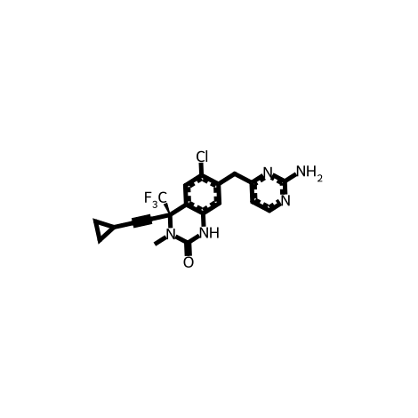 CN1C(=O)Nc2cc(Cc3ccnc(N)n3)c(Cl)cc2[C@]1(C#CC1CC1)C(F)(F)F